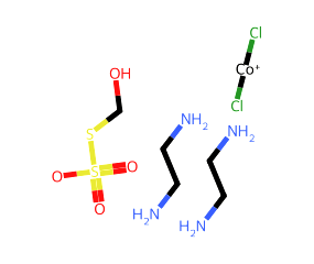 NCCN.NCCN.O=S(=O)([O-])SCO.[Cl][Co+][Cl]